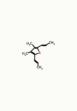 CC=Cc1sc(/C=C/C)c(C)c1C